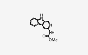 COC(=O)Nc1cc2c(cn1)[nH]c1ccccc12